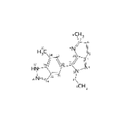 CCn1nc2ccc(C)nc2c1-c1cc(C)c2[nH]ncc2c1